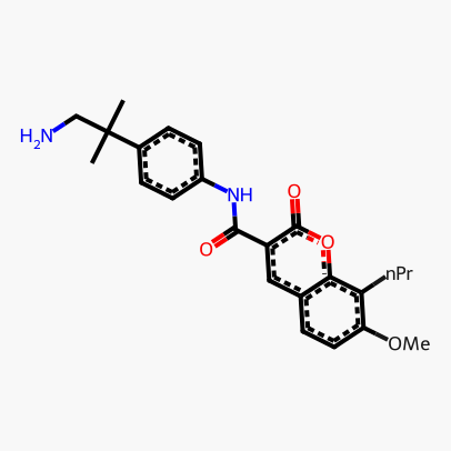 CCCc1c(OC)ccc2cc(C(=O)Nc3ccc(C(C)(C)CN)cc3)c(=O)oc12